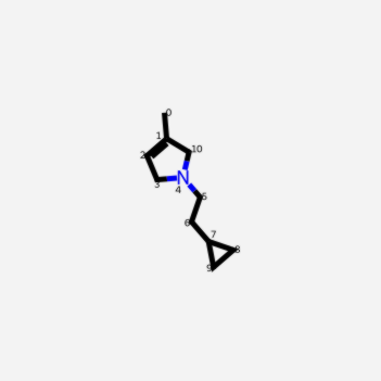 CC1=CCN(CCC2CC2)C1